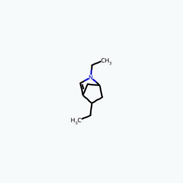 CCC1CC2CC1=CN2CC